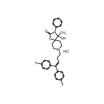 CC1(O)N(c2ccccc2)C(=O)OC12CCN(CCC=C(c1ccc(F)cc1)c1ccc(F)cc1)CC2.Cl